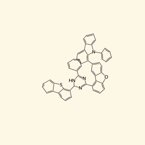 c1ccc(C2=NC(c3cccc4oc5ccc(-c6cccc7c8ccccc8n(-c8ccccc8)c67)cc5c34)=NC(c3cccc4c3sc3ccccc34)N2)cc1